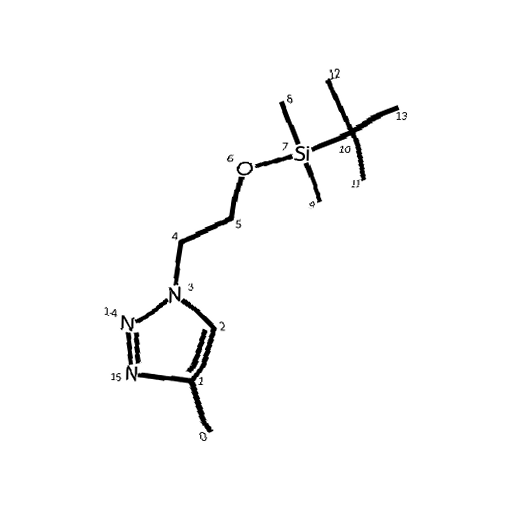 Cc1cn(CCO[Si](C)(C)C(C)(C)C)nn1